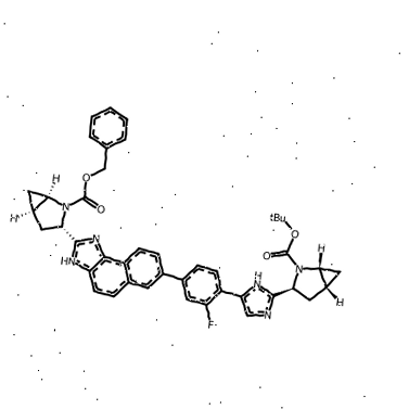 CC(C)(C)OC(=O)N1[C@@H]2C[C@@H]2C[C@H]1c1ncc(-c2ccc(-c3ccc4c(ccc5[nH]c([C@@H]6C[C@H]7C[C@H]7N6C(=O)OCc6ccccc6)nc54)c3)cc2F)[nH]1